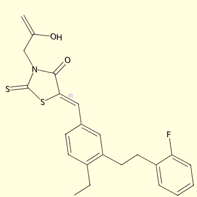 C=C(O)CN1C(=O)/C(=C/c2ccc(CC)c(CCc3ccccc3F)c2)SC1=S